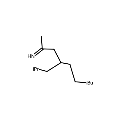 CCC(C)CCC(CC(C)=N)CC(C)C